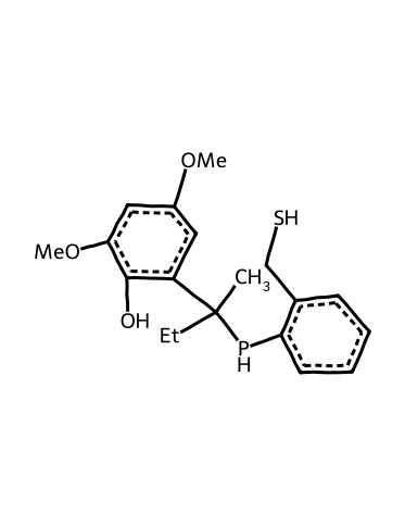 CCC(C)(Pc1ccccc1CS)c1cc(OC)cc(OC)c1O